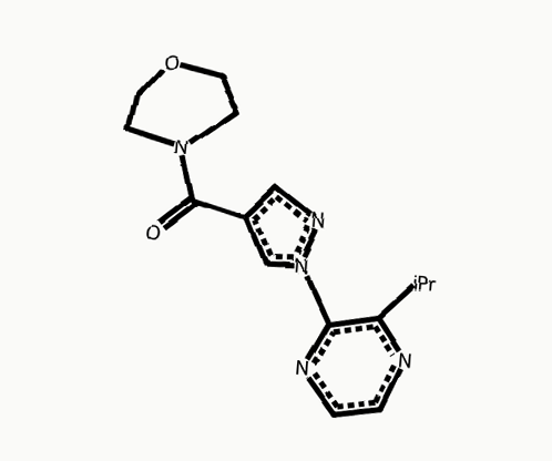 CC(C)c1nccnc1-n1cc(C(=O)N2CCOCC2)cn1